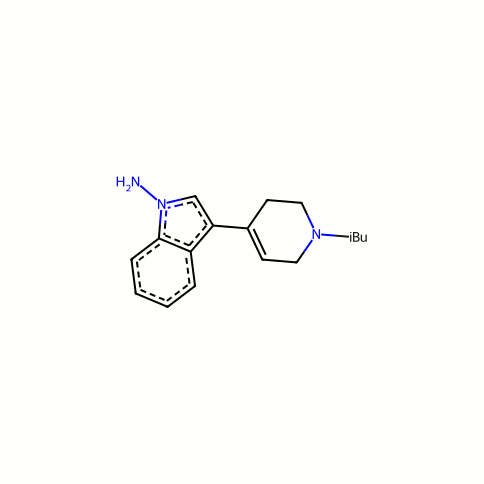 CCC(C)N1CC=C(c2cn(N)c3ccccc23)CC1